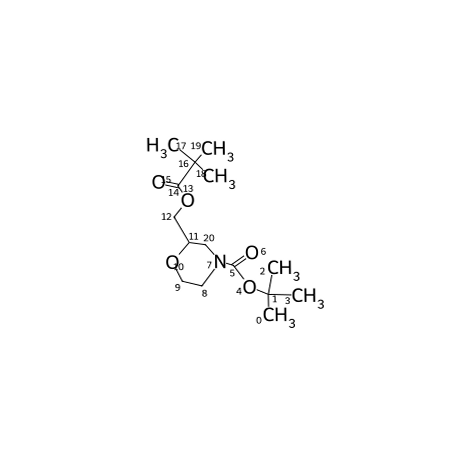 CC(C)(C)OC(=O)N1CCOC(COC(=O)C(C)(C)C)C1